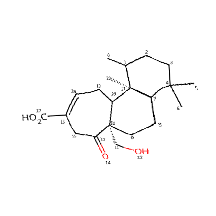 CC1CCC(C)(C)C2CC[C@@]3(CO)C(=O)CC(C(=O)O)=CCC3[C@@]12C